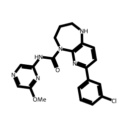 COc1cncc(NC(=O)N2CCCNc3ccc(-c4cccc(Cl)c4)nc32)n1